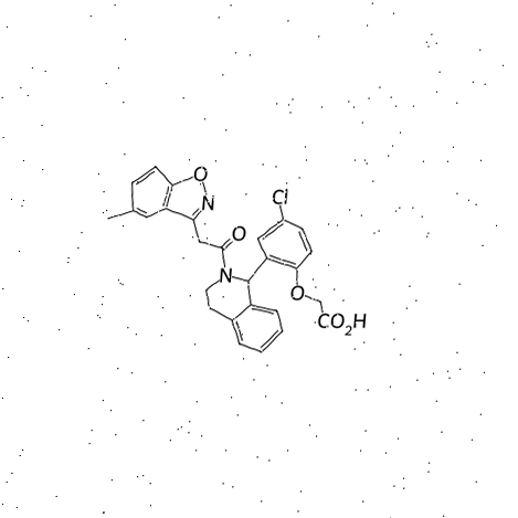 Cc1ccc2onc(CC(=O)N3CCc4ccccc4C3c3cc(Cl)ccc3OCC(=O)O)c2c1